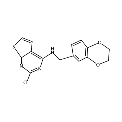 Clc1nc(NCc2ccc3c(c2)OCCO3)c2ccsc2n1